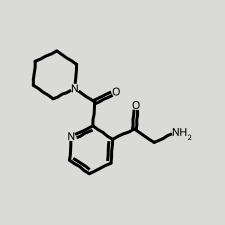 NCC(=O)c1cccnc1C(=O)N1CCCCC1